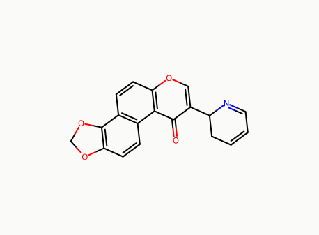 O=c1c(C2CC=CC=N2)coc2ccc3c4c(ccc3c12)OCO4